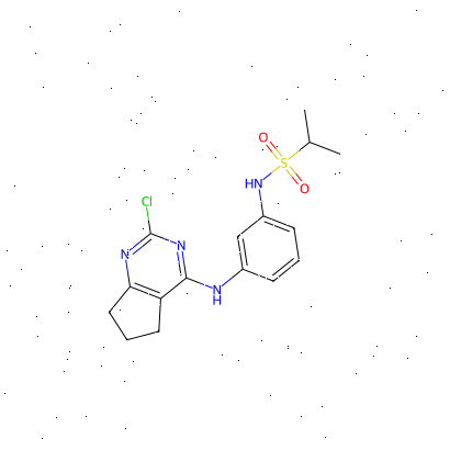 CC(C)S(=O)(=O)Nc1cccc(Nc2nc(Cl)nc3c2CCC3)c1